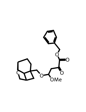 COC(CC(=O)C(=O)OCc1ccccc1)OCC12CCC3CCC(C1)C2C3